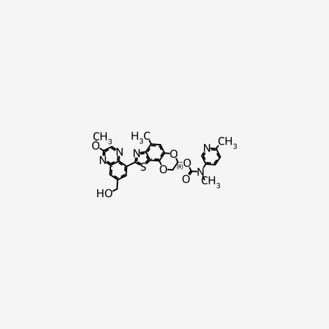 COc1cnc2c(-c3nc4c(C)cc5c(c4s3)OC[C@@H](OC(=O)N(C)c3ccc(C)nc3)O5)cc(CO)cc2n1